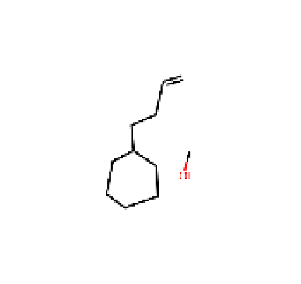 C=CCCC1CCCCC1.CO